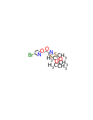 CC(C)(C)OC(=O)C(C)(C)Sc1nc(C(=O)COc2ccc(Br)cn2)cs1